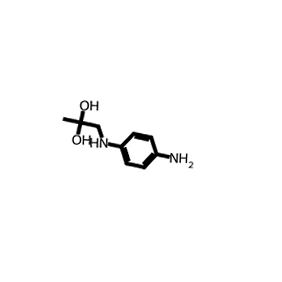 CC(O)(O)CNc1ccc(N)cc1